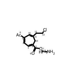 CC(=O)C1=CC=C(C(=O)OPN)CC(CCCl)=C1